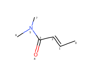 CC=CC(=O)N(C)C